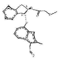 COCC(=O)O[C@@H]1Cc2ccccc2[C@H]1Oc1cccn2c(C=O)c(C)nc12